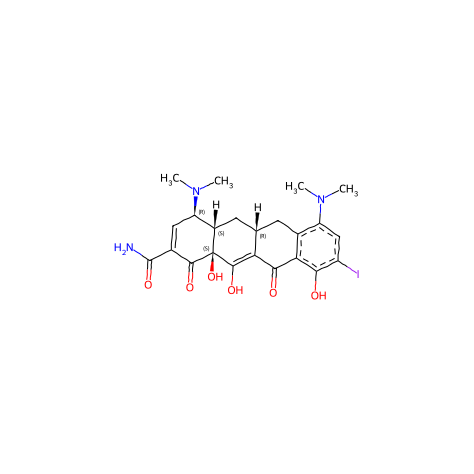 CN(C)c1cc(I)c(O)c2c1C[C@H]1C[C@H]3[C@H](N(C)C)C=C(C(N)=O)C(=O)[C@@]3(O)C(O)=C1C2=O